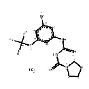 Cl.N=C(NC(=N)N1CCCC1)Nc1cc(Br)cc(OC(F)(F)F)c1